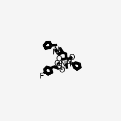 CCN(C(=O)C(Cc1cnn(Cc2ccccc2)c1)C(=O)NS(=O)(=O)/C=C/c1ccc(F)cc1)c1ccccc1